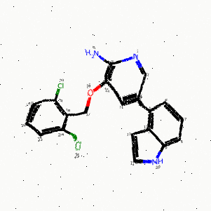 Nc1ncc(-c2cccc3[nH]ccc23)cc1OCc1c(Cl)cccc1Cl